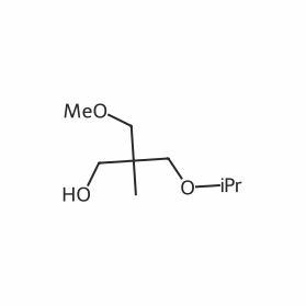 COCC(C)(CO)COC(C)C